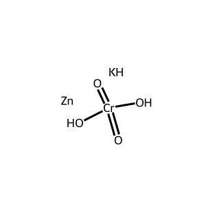 [KH].[O]=[Cr](=[O])([OH])[OH].[Zn]